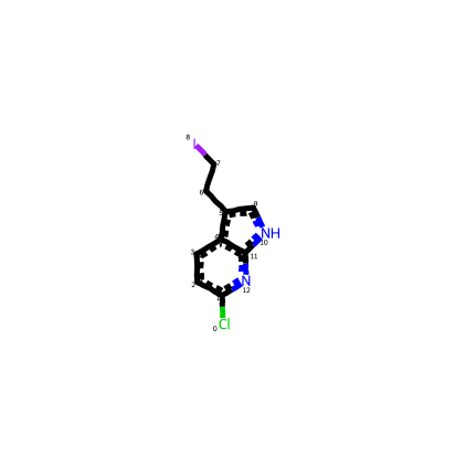 Clc1ccc2c(CCI)c[nH]c2n1